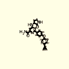 NC(=O)c1cc(NC2CCNC2=O)nc(-c2ccc(Oc3cnc(C4CC4)cn3)cc2)n1